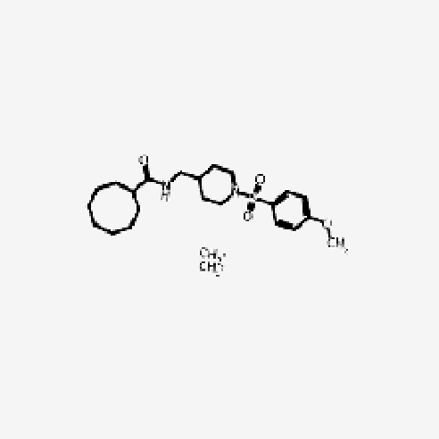 COc1ccc(S(=O)(=O)N2CCC(CNC(=O)[C]3CCCCCCC3)CC2)cc1.[CH2].[CH2]